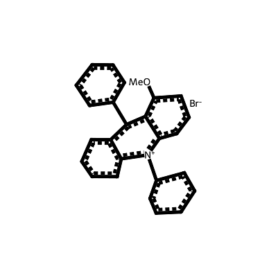 COc1cccc2c1c(-c1ccccc1)c1ccccc1[n+]2-c1ccccc1.[Br-]